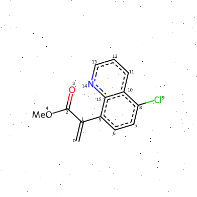 C=C(C(=O)OC)c1ccc(Cl)c2cccnc12